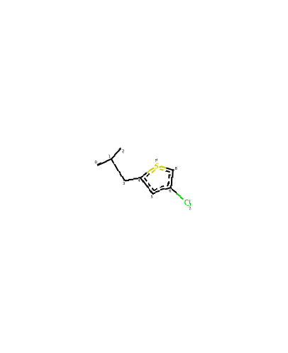 CC(C)Cc1cc(Cl)cs1